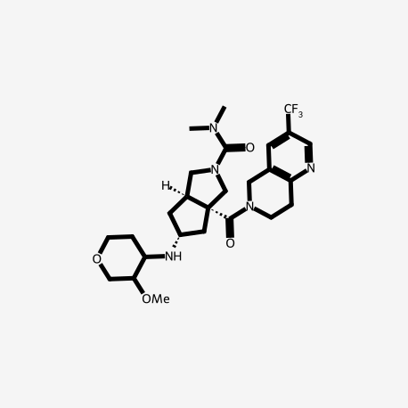 COC1COCCC1N[C@@H]1C[C@H]2CN(C(=O)N(C)C)C[C@@]2(C(=O)N2CCc3ncc(C(F)(F)F)cc3C2)C1